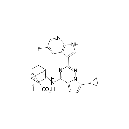 O=C(O)[C@H]1C2CCC(CC2)C1Nc1nc(-c2c[nH]c3ncc(F)cc23)nn2c(C3CC3)ccc12